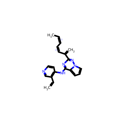 C=Cc1cnccc1Nc1nc(C(=C)/C=C\C=C/C)nn2cccc12